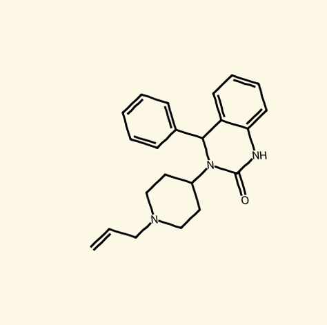 C=CCN1CCC(N2C(=O)Nc3ccccc3C2c2ccccc2)CC1